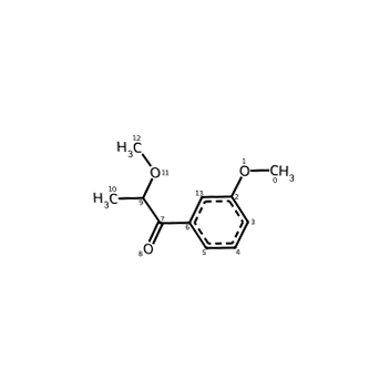 COc1cccc(C(=O)C(C)OC)c1